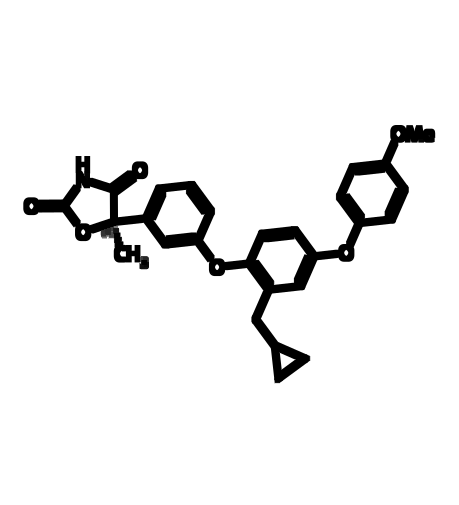 COc1ccc(Oc2ccc(Oc3cccc([C@@]4(C)OC(=O)NC4=O)c3)c(CC3CC3)c2)cc1